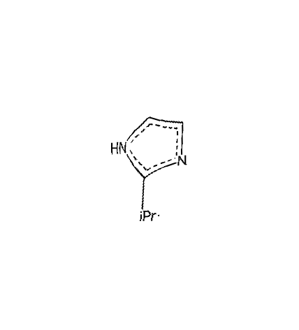 C[C](C)c1ncc[nH]1